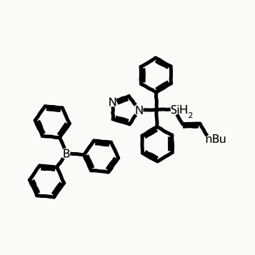 CCCCC=C[SiH2]C(c1ccccc1)(c1ccccc1)n1ccnc1.c1ccc(B(c2ccccc2)c2ccccc2)cc1